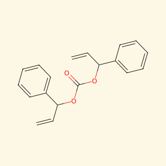 C=CC(OC(=O)OC(C=C)c1ccccc1)c1ccccc1